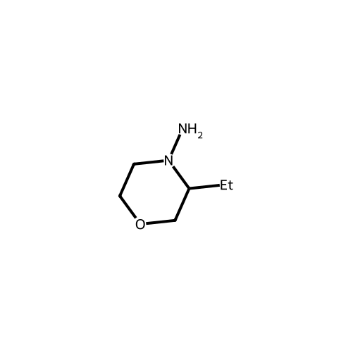 CCC1COCCN1N